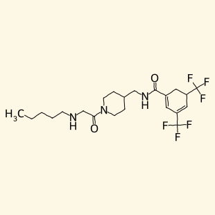 CCCCCNCC(=O)N1CCC(CNC(=O)C2=CC(C(F)(F)F)=CC(C(F)(F)F)C2)CC1